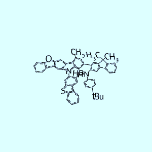 Cc1cc(-c2cc3c(cc2Nc2ccc(C(C)(C)C)cc2)-c2ccccc2C3(C)C)c2c3c1c1cc4oc5ccccc5c4cc1n3-c1cc3sc4ccccc4c3cc1B2